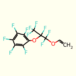 C=COC(F)(F)C(F)(Oc1c(F)c(F)c(F)c(F)c1F)C(F)(F)F